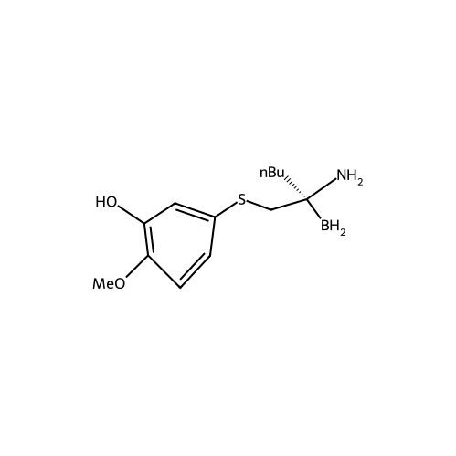 B[C@@](N)(CCCC)CSc1ccc(OC)c(O)c1